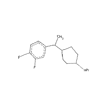 CCCC1CCC(C(C)c2ccc(F)c(F)c2)CC1